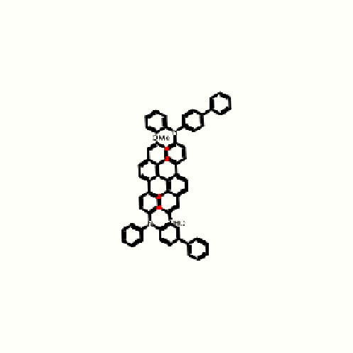 COc1ccc2c(-c3c(-c4ccc(N(c5ccccc5)c5ccc(-c6ccccc6)cc5)cc4)ccc4cc(C=O)ccc34)c(-c3ccc(N(c4ccccc4)c4ccc(-c5ccccc5)cc4)cc3)ccc2c1